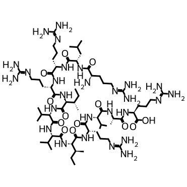 CC[C@H](C)[C@H](NC(=O)[C@H](CCCN=C(N)N)NC(=O)[C@H](CCCN=C(N)N)NC(=O)[C@H](CC(C)C)NC(=O)[C@@H](N)CCCN=C(N)N)C(=O)N[C@H](C(=O)N[C@H](C(=O)N[C@H](C(=O)N[C@@H](CCCN=C(N)N)C(=O)N[C@H](C(=O)N[C@@H](C)C(=O)N[C@@H](CCCN=C(N)N)C(=O)O)C(C)C)[C@@H](C)CC)C(C)C)C(C)C